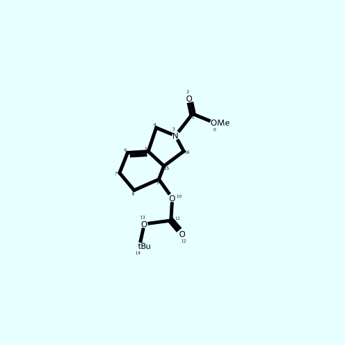 COC(=O)N1CC2=CCCC(OC(=O)OC(C)(C)C)C2C1